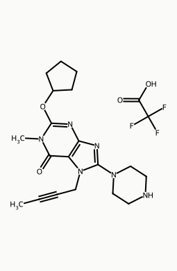 CC#CCn1c(N2CCNCC2)nc2nc(OC3CCCC3)n(C)c(=O)c21.O=C(O)C(F)(F)F